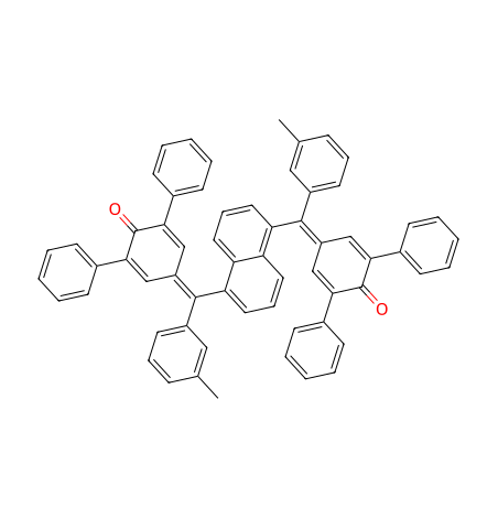 Cc1cccc(C(=C2C=C(c3ccccc3)C(=O)C(c3ccccc3)=C2)c2cccc3c(C(=C4C=C(c5ccccc5)C(=O)C(c5ccccc5)=C4)c4cccc(C)c4)cccc23)c1